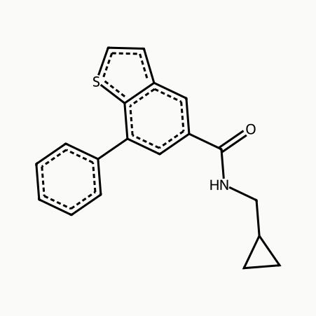 O=C(NCC1CC1)c1cc(-c2ccccc2)c2sccc2c1